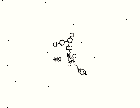 CN1CCN(CCCCN2C(=O)CN(N=Cc3ccc(-c4ccc(Cl)cc4-c4ccc(Cl)cc4)o3)C2=O)CC1.Cl.Cl